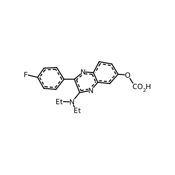 CCN(CC)c1nc2cc(OC(=O)O)ccc2nc1-c1ccc(F)cc1